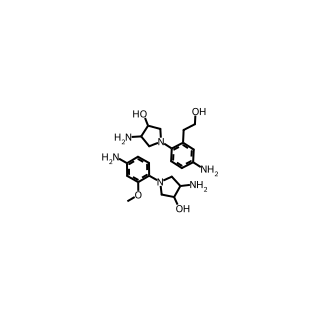 COc1cc(N)ccc1N1CC(N)C(O)C1.Nc1ccc(N2CC(N)C(O)C2)c(CCO)c1